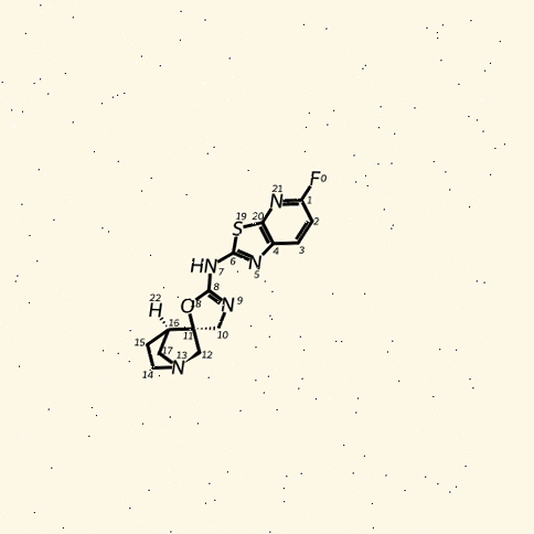 Fc1ccc2nc(NC3=NC[C@@]4(C[N@@]5CC[C@@H]4C5)O3)sc2n1